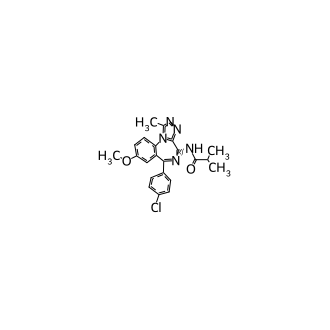 COc1ccc2c(c1)C(c1ccc(Cl)cc1)=N[C@@H](NC(=O)C(C)C)c1nnc(C)n1-2